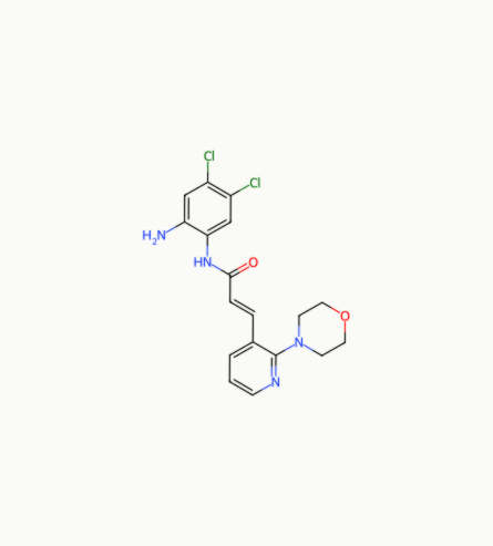 Nc1cc(Cl)c(Cl)cc1NC(=O)/C=C/c1cccnc1N1CCOCC1